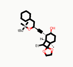 CCC1[C@H]2[C@H](C#C[C@H](CC3CCCCC3)O[Si](C)(C)C(C)(C)C)[C@@H](O)CC[C@@]2(C)C12OCCO2